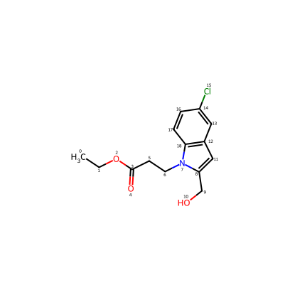 CCOC(=O)CCn1c(CO)cc2cc(Cl)ccc21